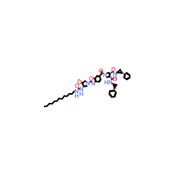 CCCCCCCCCCCCCNC(=O)N[C@H]1CN(c2nc3ccc(C(=O)N4C[C@@H](C(=O)N[C@H]5C[C@@H]5c5ccccc5)[C@H](C(=O)N[C@H]5C[C@@H]5c5ccccc5)C4)cc3o2)C[C@@H]1OC